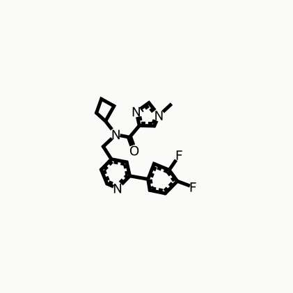 Cn1cnc(C(=O)N(Cc2ccnc(-c3ccc(F)c(F)c3)c2)C2CCC2)c1